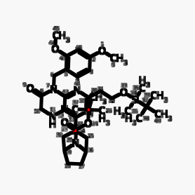 COc1ccc(CN2C(=O)CNc3c(N4CC5CCC(C4)N5C(=O)OC(C)(C)C)nc(CCO[Si](C)(C)C(C)(C)C)nc32)c(OC)c1